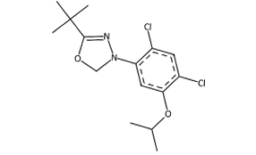 CC(C)Oc1cc(N2COC(C(C)(C)C)=N2)c(Cl)cc1Cl